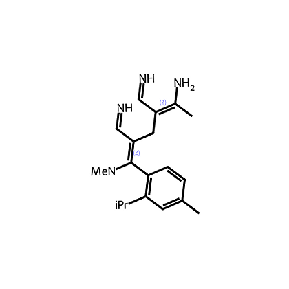 CN/C(=C(\C=N)C/C(C=N)=C(\C)N)c1ccc(C)cc1C(C)C